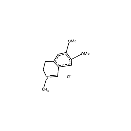 COc1cc2c(cc1OC)CC[N+](C)=C2.[Cl-]